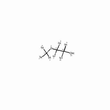 [2H]C([2H])([2H])OC([2H])([2H])C([2H])([2H])O